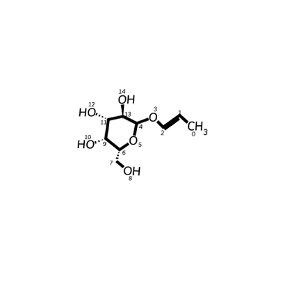 CC=COC1O[C@H](CO)[C@H](O)[C@H](O)[C@H]1O